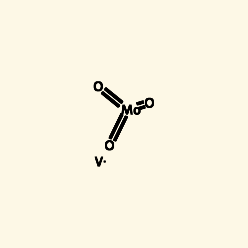 [O]=[Mo](=[O])=[O].[V]